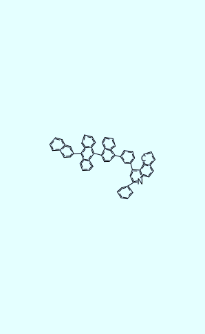 c1ccc(-c2cc(-c3cccc(-c4ccc(-c5c6ccccc6c(-c6ccc7ccccc7c6)c6ccccc56)c5ccccc45)c3)c3c(ccc4ccccc43)n2)cc1